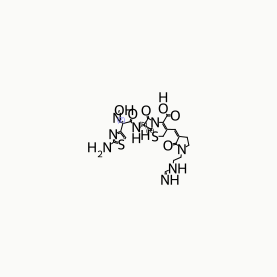 N=CNCCN1CCC(=CC2=C(C(=O)O)N3C(=O)[C@@H](NC(=O)/C(=N\O)c4csc(N)n4)[C@H]3SC2)C1=O